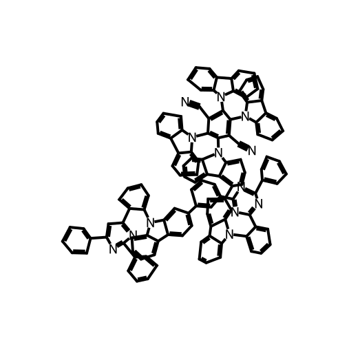 N#Cc1c(-n2c3ccccc3c3ccccc32)c(-n2c3ccccc3c3ccccc32)c(C#N)c(-n2c3ccccc3c3c(-c4ccc5c6ccccc6n(-c6ccccc6-c6nc(-c7ccccc7)nc(-c7cccc(-c8ccc9c%10ccccc%10n(-c%10ccccc%10-c%10cc(-c%11ccccc%11)nc(-c%11ccccc%11)n%10)c9c8)c7)n6)c5c4)cccc32)c1-n1c2ccccc2c2ccccc21